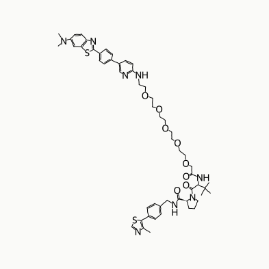 Cc1ncsc1-c1ccc(CNC(=O)[C@@H]2CCCN2C(=O)C(NC(=O)COCCOCCOCCOCCOCCNc2ccc(-c3ccc(-c4nc5ccc(N(C)C)cc5s4)cc3)cn2)C(C)(C)C)cc1